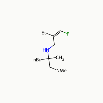 CCCCC(C)(CNC)NC/C(=C\F)CC